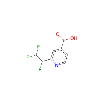 O=C(O)c1ccnc(C(F)C(F)F)c1